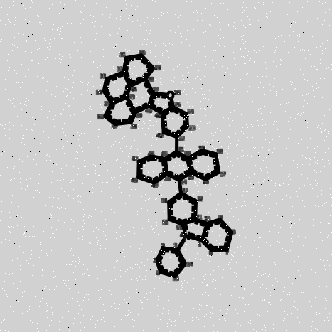 c1ccc(-n2c3ccccc3c3cc(-c4c5ccccc5c(-c5ccc6oc7c8cccc9ccc%10cccc(c7c6c5)c%10c98)c5ccccc45)ccc32)cc1